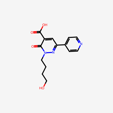 O=C(O)c1cc(-c2ccncc2)nn(CCCCO)c1=O